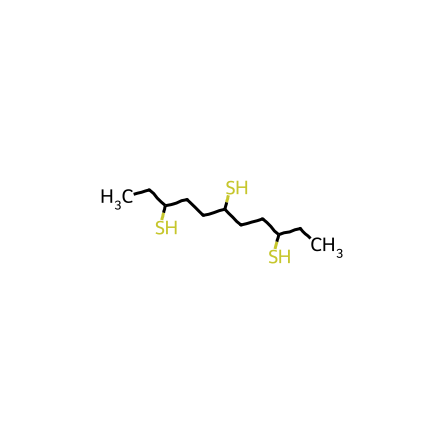 CCC(S)CCC(S)CCC(S)CC